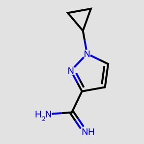 N=C(N)c1ccn(C2CC2)n1